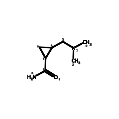 CN(C)CC1CC1C(N)=O